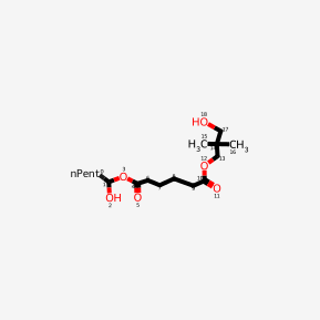 CCCCCC(O)OC(=O)CCCCC(=O)OCC(C)(C)CO